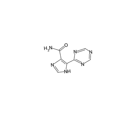 NC(=O)c1nc[nH]c1-c1ncncn1